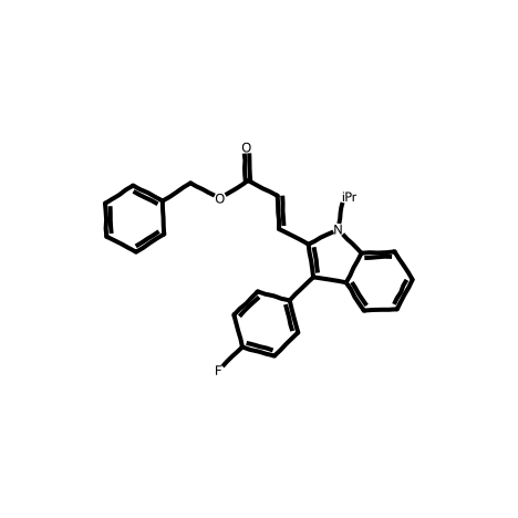 CC(C)n1c(C=CC(=O)OCc2ccccc2)c(-c2ccc(F)cc2)c2ccccc21